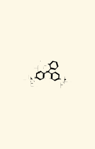 CCN(CC)c1ccc2c(c1)Oc1cc(N(CC)CC)ccc1C2(C)c1ccccc1C(C)=O